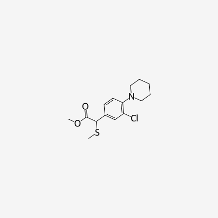 COC(=O)C(SC)c1ccc(N2CCCCC2)c(Cl)c1